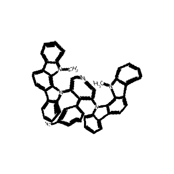 Cn1c2ccccc2c2ccc3c4ccccc4n(-c4cncc(-n5c6ccccc6c6ccc7c8ccccc8n(C)c7c65)c4-c4cccc(C#N)c4)c3c21